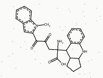 Cn1c(C(=O)C(=O)CC(N)(C(=O)O)C2c3ccccc3NC3CCCC32)cc2ccccc21